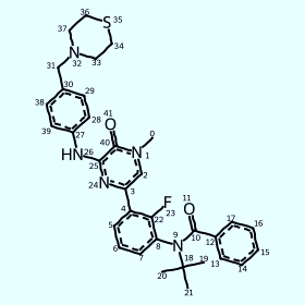 Cn1cc(-c2cccc(N(C(=O)c3ccccc3)C(C)(C)C)c2F)nc(Nc2ccc(CN3CCSCC3)cc2)c1=O